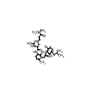 Cc1ccc(NC(=O)C(CCC=CC(=O)N(C)C)NC(=O)O)c(=O)n1Cc1nc2c(F)cnc(CC(C)C)c2[nH]1